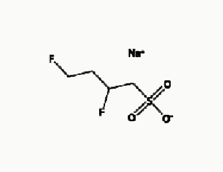 O=S(=O)([O-])CC(F)CCF.[Na+]